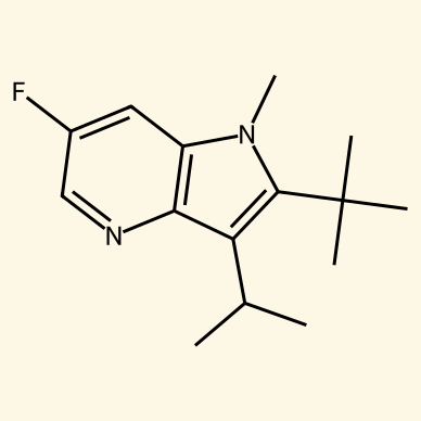 CC(C)c1c(C(C)(C)C)n(C)c2cc(F)cnc12